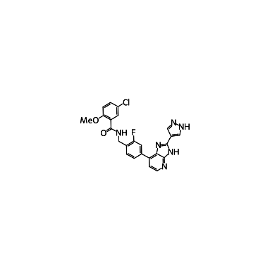 COc1ccc(Cl)cc1C(=O)NCc1ccc(-c2ccnc3[nH]c(-c4cn[nH]c4)nc23)cc1F